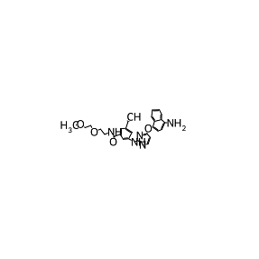 C#Cc1cc(Nc2nccc(Oc3ccc(N)c4ccccc34)n2)cc(C(=O)NCCOCCOC)c1